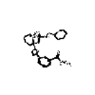 NNC(=O)c1cccc(-c2ccc([C@@]3(CC(=O)NOC4CCCCO4)CCCCS3(=O)=O)s2)c1